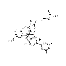 COc1ccc2c(c1)[C@]13CCN(CCCNC(=O)O)[C@H](C2)[C@]12CC[C@@H]1[C@H]3[C@@H](CN1c1nc(C)cc(C)n1)C2